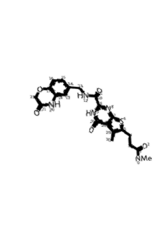 CNC(=O)CCc1sc2nc(C(=O)NCc3ccc4c(c3)NC(=O)CO4)[nH]c(=O)c2c1C